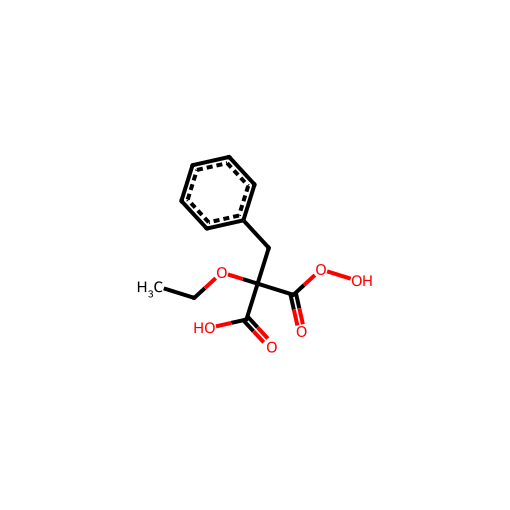 CCOC(Cc1ccccc1)(C(=O)O)C(=O)OO